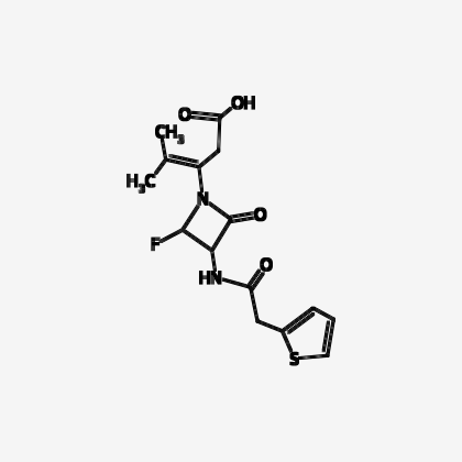 CC(C)=C(CC(=O)O)N1C(=O)C(NC(=O)Cc2cccs2)C1F